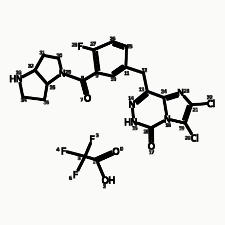 O=C(O)C(F)(F)F.O=C(c1cc(Cc2n[nH]c(=O)n3c(Cl)c(Cl)nc23)ccc1F)N1CCC2NCCC21